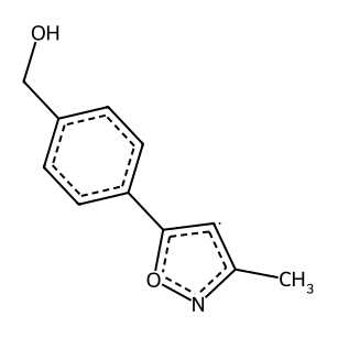 Cc1[c]c(-c2ccc(CO)cc2)on1